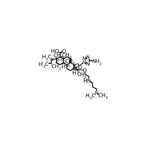 CC(C)[C@@H](C)[C@@]1(C)CC[C@]2(C)[C@H]3CC[C@@H]4[C@@]5(CO[C@]4(C)[C@@H](OCCNCCCN(C)C)[C@H](n4nnc(N)n4)C5)C3=CC[C@@]2(C)[C@@H]1C(=O)O